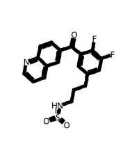 O=C(c1ccc2ncccc2c1)c1cc(CCCN[SH](=O)=O)cc(F)c1F